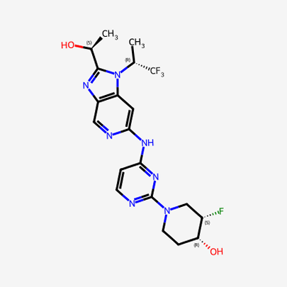 C[C@H](O)c1nc2cnc(Nc3ccnc(N4CC[C@@H](O)[C@@H](F)C4)n3)cc2n1[C@H](C)C(F)(F)F